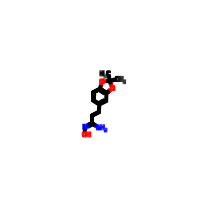 CC1(C)Oc2ccc(CC/C(N)=N/O)cc2O1